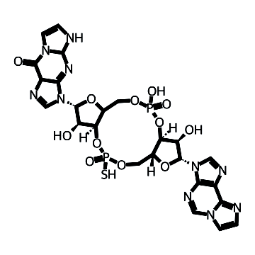 O=C1C2N=CN([C@@H]3OC4COP(=O)(O)O[C@H]5[C@@H](O)[C@H](n6cnc7c6ncn6ccnc76)O[C@@H]5COP(=O)(S)O[C@H]4[C@H]3O)C2=NC2NC=CN12